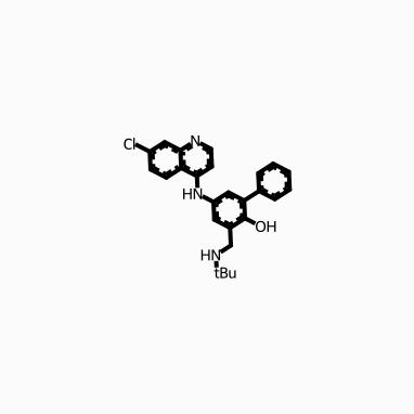 CC(C)(C)NCc1cc(Nc2ccnc3cc(Cl)ccc23)cc(-c2ccccc2)c1O